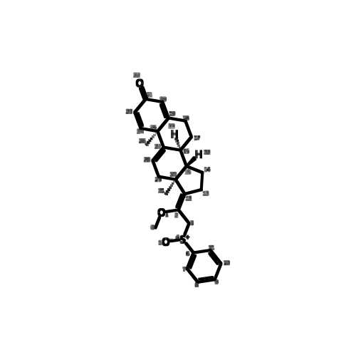 COC(C[S+]([O-])c1ccccc1)=C1CC[C@H]2[C@@H]3CCC4=CC(=O)C=C[C@]4(C)C3=CC[C@]12C